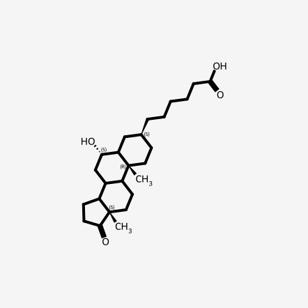 C[C@]12CC[C@H](CCCCCC(=O)O)CC1[C@@H](O)CC1C2CC[C@]2(C)C(=O)CCC12